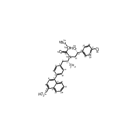 C[C@H](Cc1ccc(-c2ccc(C(=O)O)c3ccccc23)cc1)N(C[C@H](O)c1ccc(Cl)nc1)C(=O)OC(C)(C)C